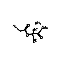 CCC(OC(=O)CC(C)=O)(C(C)=O)C(=O)OC(C)=O.[AlH3]